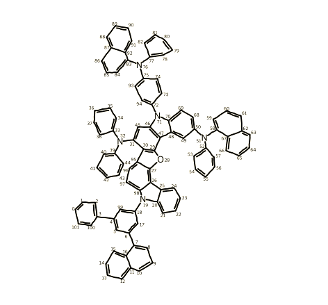 c1ccc(-c2cc(-c3cccc4ccccc34)cc(-n3c4ccccc4c4c5oc6c(c(N(c7ccccc7)c7ccccc7)cc7c6c6cc(N(c8ccccc8)c8cccc9ccccc89)ccc6n7-c6ccc(N(c7ccccc7)c7cccc8ccccc78)cc6)c5ccc43)c2)cc1